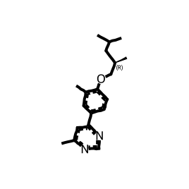 Cc1cc(-c2ccc(OC[C@H](C)CC(C)C)c(C)c2)ncn1